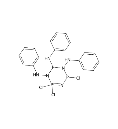 ClP1N=P(Cl)(Cl)N(Nc2ccccc2)P(Nc2ccccc2)N1Nc1ccccc1